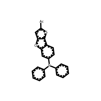 CC(=O)c1cc2oc3cc(N(c4ccccc4)c4ccccc4)ccc3c2s1